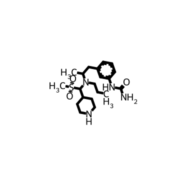 CCCN(C(C)Cc1cccc(NC(N)=O)c1)C(C1CCNCC1)S(C)(=O)=O